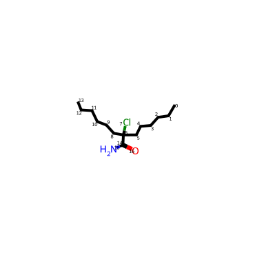 CCCCCCC(Cl)(CCCCCC)C(N)=O